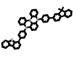 CC1(C)c2ccccc2-c2ccc(-c3ccc(N4c5ccccc5B5c6ccccc6N(c6ccc(-c7cccc8c7sc7ccccc78)cc6)c6cccc4c65)cc3)cc21